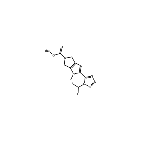 Cn1c(-c2nnnn2C(F)F)nc2c1CN(C(=O)OC(C)(C)C)C2